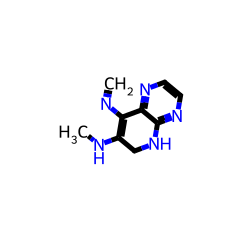 C=NC1=C(NC)CNc2nccnc21